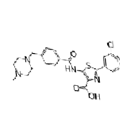 CN1CCN(Cc2ccc(C(=O)Nc3sc(-c4ccnc(Cl)c4)nc3C(=O)O)cc2)CC1